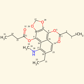 CCCC(=O)Oc1c2c(c(OC(=O)CCC)c3c(NC)c(CC)ccc13)OCO2